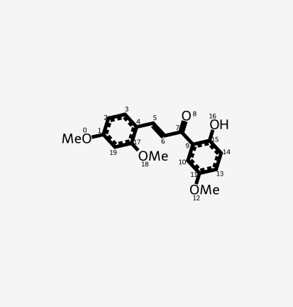 COc1ccc(C=CC(=O)c2cc(OC)ccc2O)c(OC)c1